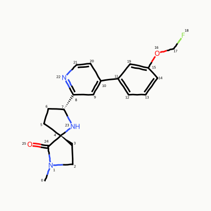 CN1CC[C@]2(CC[C@H](c3cc(-c4cccc(OCF)c4)ccn3)N2)C1=O